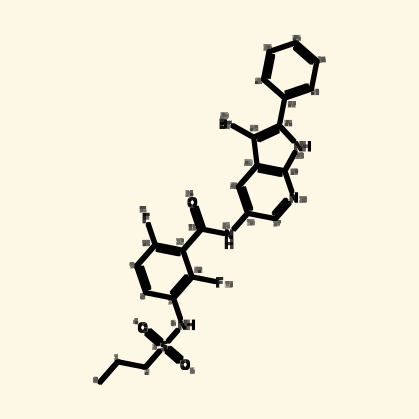 CCCS(=O)(=O)Nc1ccc(F)c(C(=O)Nc2cnc3[nH]c(-c4ccccc4)c(Br)c3c2)c1F